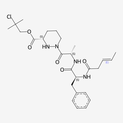 C/C=C/CC(=O)N[C@@H](Cc1ccccc1)C(=O)N[C@@H](C)C(=O)N1CCC[C@@H](C(=O)OCC(C)(C)Cl)N1